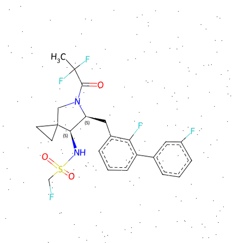 CC(F)(F)C(=O)N1CC2(CC2)[C@H](NS(=O)(=O)CF)[C@@H]1Cc1cccc(-c2cccc(F)c2)c1F